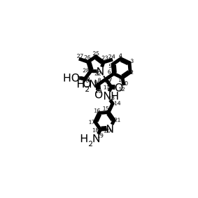 Cc1ccccc1[C@](C(N)=O)(C(=O)NCc1ccc(N)nc1)n1c(C)cc(C)c1C(=O)O